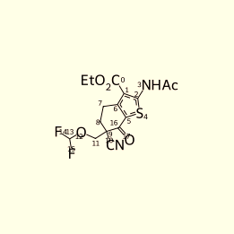 CCOC(=O)c1c(NC(C)=O)sc2c1CCC(C#N)(COC(F)F)C2=O